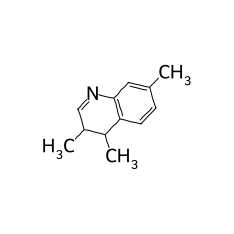 Cc1ccc2c(c1)N=CC(C)C2C